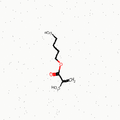 C=C(C(=O)OCCCCCCCCCCCC)S(=O)(=O)O